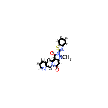 Cc1c2c(=O)n(-c3nc4ccccc4s3)n(C)c2cc(=O)n1Cc1ccccn1